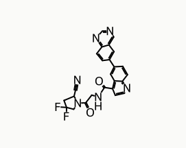 N#CC1CC(F)(F)CN1C(=O)CNC(=O)c1ccnc2ccc(-c3ccc4ncncc4c3)cc12